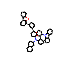 c1cc(-c2ccc(N(c3ccc4ccccc4c3)c3ccccc3-c3ccccc3-n3c4ccccc4c4ccccc43)cc2)cc(-c2cccc3c2oc2ccccc23)c1